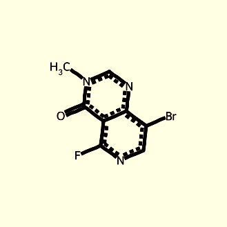 Cn1cnc2c(Br)cnc(F)c2c1=O